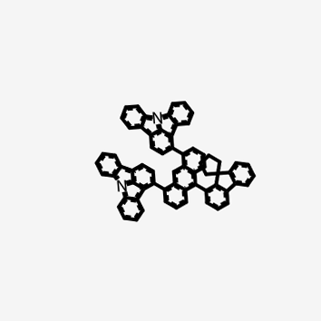 c1ccc2c(c1)-c1cccc(-c3c4cccc(-c5ccc6c7ccccc7n7c8ccccc8c5c67)c4cc4c(-c5ccc6c7ccccc7n7c8ccccc8c5c67)cccc34)c1C21CCCC1